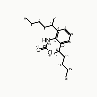 CCCCC(C)c1cccc(C(C)CCCC)c1NC(=O)Cl